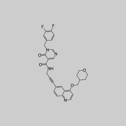 O=C(NCC#Cc1ccc2nccc(OCC3CCOCC3)c2c1)c1cncn(Cc2ccc(F)c(F)c2)c1=O